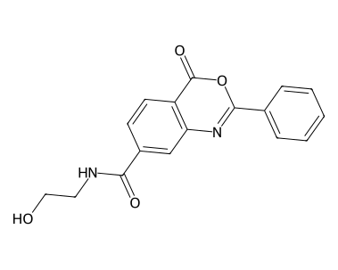 O=C(NCCO)c1ccc2c(=O)oc(-c3ccccc3)nc2c1